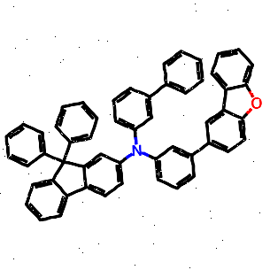 c1ccc(-c2cccc(N(c3cccc(-c4ccc5oc6ccccc6c5c4)c3)c3ccc4c(c3)C(c3ccccc3)(c3ccccc3)c3ccccc3-4)c2)cc1